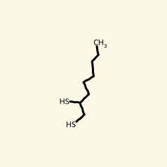 CCCCCCC(S)CS